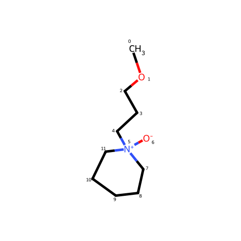 COCCC[N+]1([O-])CCCCC1